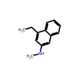 CCc1cc(NC)cc2ccccc12